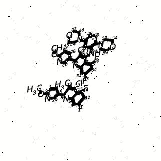 COc1ccc(-c2nc3cc(F)cc(F)c3c(Cl)c2C)cn1.COc1ccc(-c2nc3cc(F)cc(F)c3c(Nc3cc(N4CCOCC4)cnc3N3CCOCC3)c2C)cn1